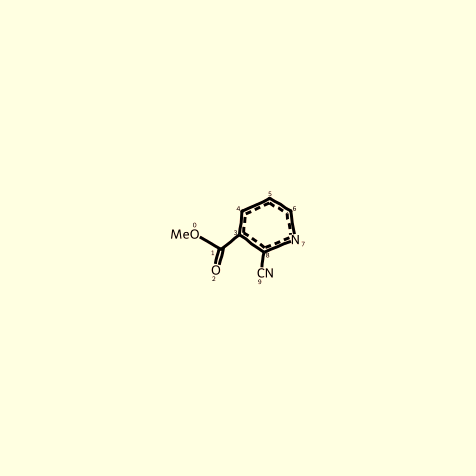 COC(=O)c1cccnc1C#N